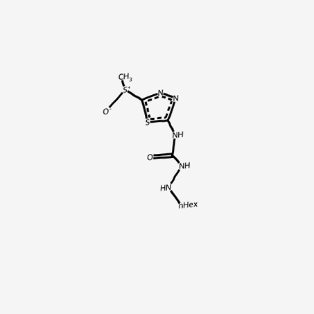 CCCCCCNNC(=O)Nc1nnc([S+](C)[O-])s1